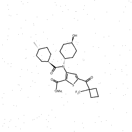 COC(=O)c1sc(C(=O)C2(C(F)(F)F)CCC2)cc1N(C(=O)[C@H]1CC[C@H](C)CC1)[C@H]1CC[C@H](O)CC1